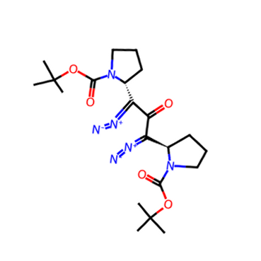 CC(C)(C)OC(=O)N1CCC[C@@H]1C(=[N+]=[N-])C(=O)C(=[N+]=[N-])[C@H]1CCCN1C(=O)OC(C)(C)C